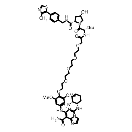 COc1cc(Nc2nc(N[C@H]3CCCC[C@H]3N)n3ccnc3c2C(N)=O)cc(OC)c1OCCOCCOCCOCCOCC(=O)N[C@H](C(=O)N1C[C@H](O)C[C@H]1C(=O)NCc1ccc(-c2scnc2C)cc1)C(C)(C)C